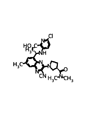 Cc1cc([C@@H](C)Nc2ccc(Cl)nc2C(=O)O)c2nc(N3CC[C@@H](C(=O)N(C)C)C3)c(C#N)nc2c1